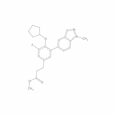 COC(=O)CCc1cc(F)c(OC2CCCC2)c(-c2ccc3c(cnn3C)c2)c1